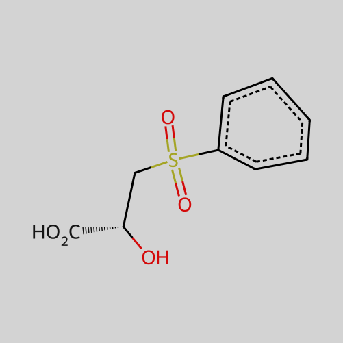 O=C(O)[C@@H](O)CS(=O)(=O)c1ccccc1